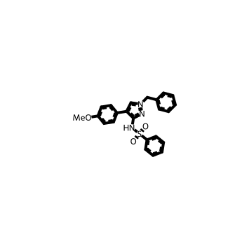 COc1ccc(-c2cn(Cc3ccccc3)nc2NS(=O)(=O)c2ccccc2)cc1